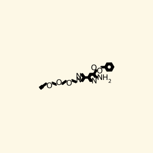 C#CCOCCOCCOCCn1cc(-c2cnc(N)c(C(=O)OCc3ccccc3)c2)cn1